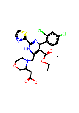 CCOC(=O)C1=C(CN2CCOCC2CC(=O)O)NC(c2nccs2)=NC1c1ccc(Cl)cc1Cl